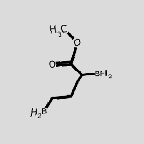 BCCC(B)C(=O)OC